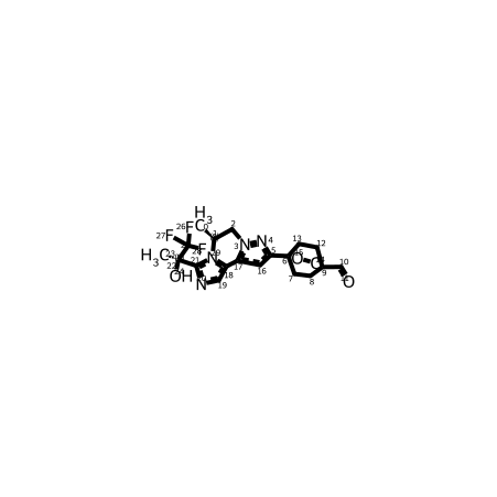 C[C@H]1Cn2nc(C34CCC(C=O)(CC3)CO4)cc2-c2cnc([C@@](C)(O)C(F)(F)F)n21